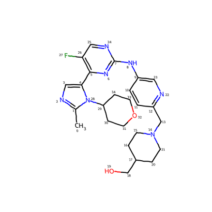 Cc1ncc(-c2nc(Nc3ccc(CN4CCC(CO)CC4)nc3)ncc2F)n1C1CCOCC1